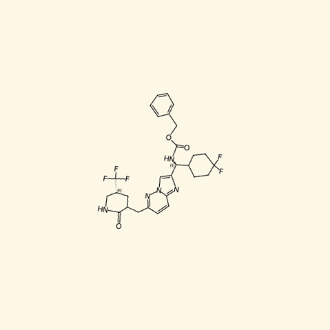 O=C(N[C@H](c1cn2nc(CC3C[C@@H](C(F)(F)F)CNC3=O)ccc2n1)C1CCC(F)(F)CC1)OCc1ccccc1